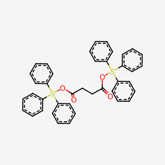 O=C(CCC(=O)OS(c1ccccc1)(c1ccccc1)c1ccccc1)OS(c1ccccc1)(c1ccccc1)c1ccccc1